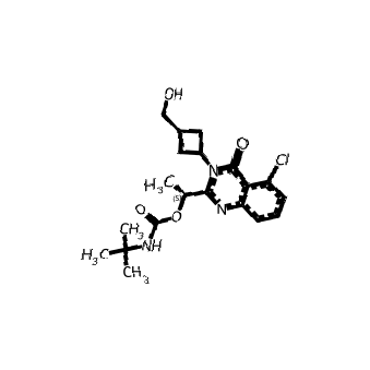 C[C@H](OC(=O)NC(C)(C)C)c1nc2cccc(Cl)c2c(=O)n1C1CC(CO)C1